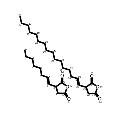 CCCCCCC=CC1CC(=O)OC1=O.CCCCCCCCCCCCCCC=CC1CC(=O)OC1=O